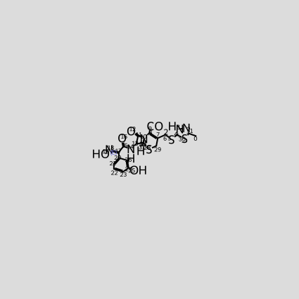 Cc1nnc(SCC2=C(C(=O)O)N3C(=O)C(NC(=O)/C(=N/O)c4cccc(O)c4)[C@H]3SC2)s1